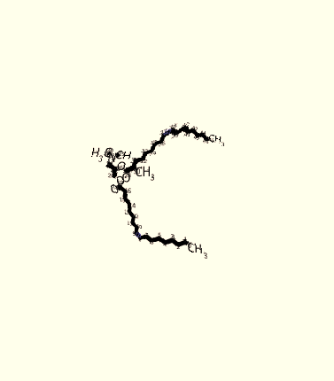 CCCCCCCC/C=C\CCCCCCCC(=O)OCC(CN(C)C)OC(=O)[C@H](C)CCCCCC/C=C\CCCCCCCC